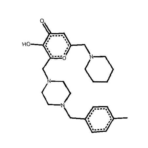 Cc1ccc(CN2CCN(Cc3oc(CN4CCCCC4)cc(=O)c3O)CC2)cc1